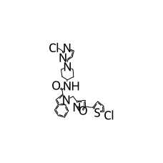 O=C(NC1CCN(c2ccnc(Cl)n2)CC1)c1cc2ccccc2n1Cc1cc(-c2ccc(Cl)s2)on1